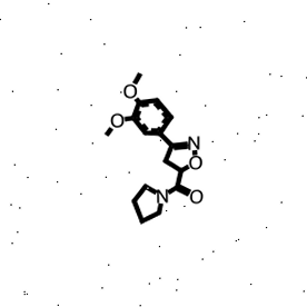 COc1ccc(C2=NOC(C(=O)N3CCCC3)C2)cc1OC